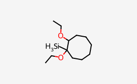 CCOC1CCCCCCC1([SiH3])OCC